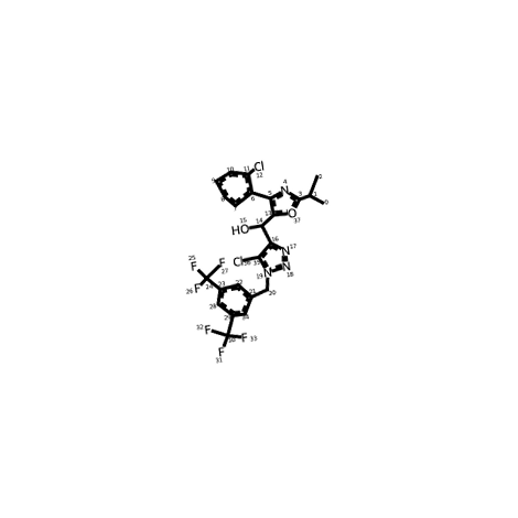 CC(C)c1nc(-c2ccccc2Cl)c(C(O)c2nnn(Cc3cc(C(F)(F)F)cc(C(F)(F)F)c3)c2Cl)o1